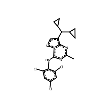 Cc1nc(Nc2c(Cl)cc(Cl)cc2Cl)n2ncc(C(C3CC3)C3CC3)c2n1